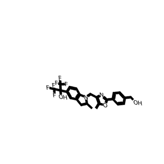 Cc1oc(-c2ccc(CO)cc2)nc1CN1c2ccc(C(O)(C(F)(F)F)C(F)(F)F)cc2CC1C